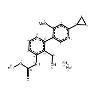 COc1cc(C2CC2)ncc1-c1nccc(NC(=O)OC(C)(C)C)c1CO.[BH4-].[Na+]